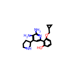 Nc1nc(-c2c(O)cccc2OCC2CC2)cc(C2CCCNC2)c1N